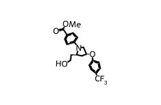 COC(=O)c1ccc(N2C[C@H](Oc3ccc(C(F)(F)F)cc3)C[C@H]2CCO)cc1